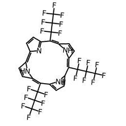 FC(F)(F)C(F)(F)C(F)(F)c1c2nc(c3ccc([nH]3)c(C(F)(F)C(F)(F)C(F)(F)F)c3ccc([nH]3)c(C(F)(F)C(F)(F)C(F)(F)F)c3ccc1[nH]3)C=C2